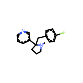 CN1CCCC1(Cc1ccc(F)cc1)c1cccnc1